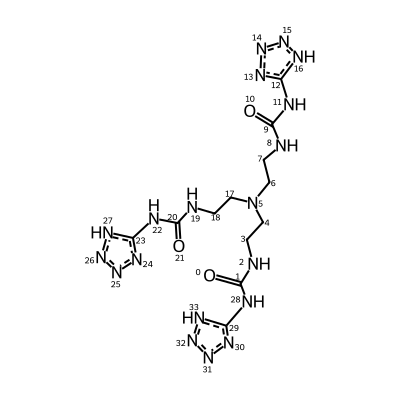 O=C(NCCN(CCNC(=O)Nc1nnn[nH]1)CCNC(=O)Nc1nnn[nH]1)Nc1nnn[nH]1